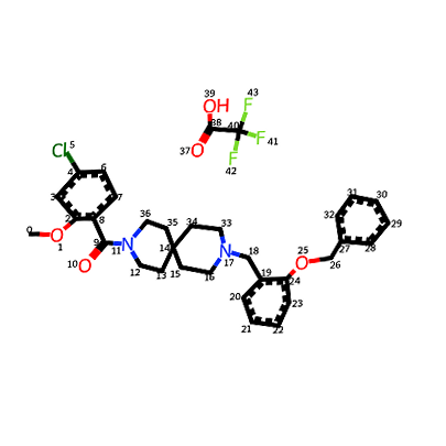 COc1cc(Cl)ccc1C(=O)N1CCC2(CCN(Cc3ccccc3OCc3ccccc3)CC2)CC1.O=C(O)C(F)(F)F